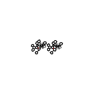 c1ccc(-c2ccc(-c3nc4oc5c(-c6ccc7c(c6)c6ccccc6c6ccc8c(c9ccc%10ccccc%10c9n8-c8nc9c(nc8-c8ccc(-c%10ccccc%10)cc8)sc8ccccc89)c67)cccc5c4nc3-n3c4ccc5c6ccccc6c6ccccc6c5c4c4ccc5ccccc5c43)cc2)cc1